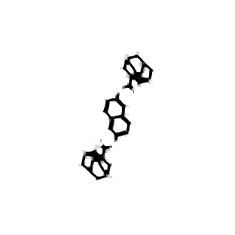 O=C(Oc1ccc2cc(OC(=O)C34CC5CC(CC(C5)C3)C4)ccc2c1)C12CC3CC(CC(C3)C1)C2